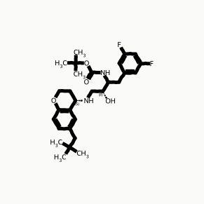 CC(C)(C)Cc1ccc2c(c1)[C@@H](NC[C@@H](O)C(Cc1cc(F)cc(F)c1)NC(=O)OC(C)(C)C)CCO2